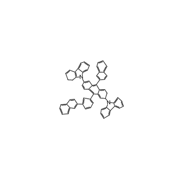 C1=Cc2c(n(-c3ccc4c(-c5cccc(-c6ccc7ccccc7c6)c5)c5c(c(-c6ccc7ccccc7c6)c4c3)=CCC(n3c4ccccc4c4ccccc43)C=5)c3ccccc23)CC1